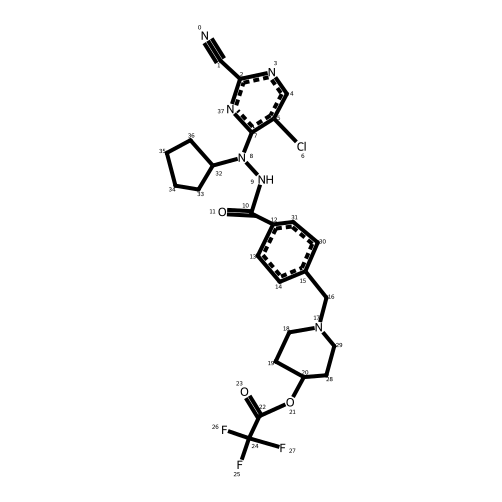 N#Cc1ncc(Cl)c(N(NC(=O)c2ccc(CN3CCC(OC(=O)C(F)(F)F)CC3)cc2)C2CCCC2)n1